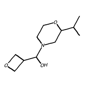 CC(C)C1CN(C(O)C2COC2)CCO1